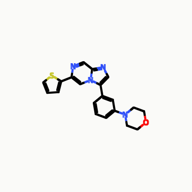 c1cc(-c2cnc3cnc(-c4cccs4)cn23)cc(N2CCOCC2)c1